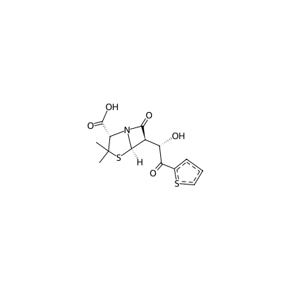 CC1(C)S[C@@H]2[C@H]([C@H](O)C(=O)c3cccs3)C(=O)N2[C@H]1C(=O)O